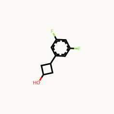 OC1CC(c2cc(F)cc(F)c2)C1